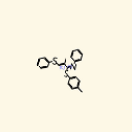 CC(=C\Sc1ccccc1)/C(=N\c1ccccc1)Sc1ccc(C)cc1